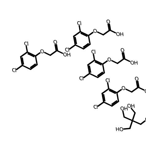 O=C(O)COc1ccc(Cl)cc1Cl.O=C(O)COc1ccc(Cl)cc1Cl.O=C(O)COc1ccc(Cl)cc1Cl.O=C(O)COc1ccc(Cl)cc1Cl.OCC(CO)(CO)CO